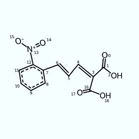 O=C(O)C(=CC=Cc1ccccc1[N+](=O)[O-])C(=O)O